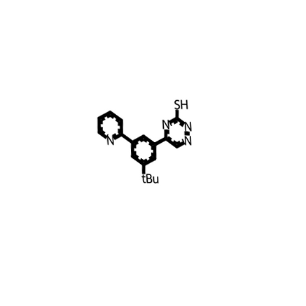 CC(C)(C)c1cc(-c2ccccn2)cc(-c2cnnc(S)n2)c1